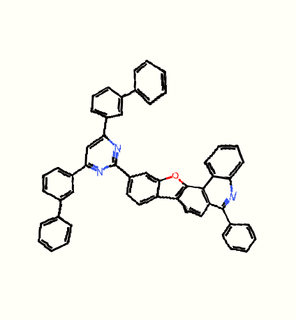 c1ccc(-c2cccc(-c3cc(-c4cccc(-c5ccccc5)c4)nc(-c4ccc5c(c4)oc4c5ccc5c(-c6ccccc6)nc6ccccc6c54)n3)c2)cc1